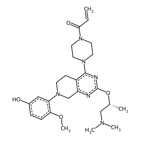 C=CC(=O)N1CCN(c2nc(O[C@H](C)CN(C)C)nc3c2CCN(c2cc(O)ccc2OC)C3)CC1